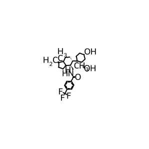 C=C1CC[C@H]2[C@H](CNC(=O)c3ccc(C(F)(F)F)cc3)[C@@H]([C@@]3(C)CC[C@H](O)C[C@@H]3CO)CC[C@]12C